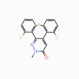 Cn1nc(-c2c(F)cccc2F)c(-c2c(F)cccc2F)cc1=O